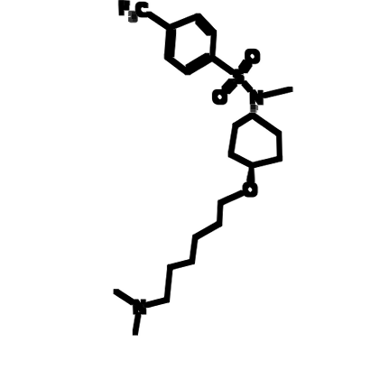 CN(C)CCCCCCO[C@H]1CC[C@H](N(C)S(=O)(=O)c2ccc(C(F)(F)F)cc2)CC1